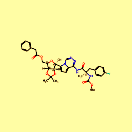 CC(C)(C)OC(=O)N[C@](C)(Cc1ccc(F)cc1)C(=O)Nc1nncn2c([C@]3(C#N)O[C@H](COC(=O)Cc4ccccc4)[C@H]4OC(C)(C)O[C@H]43)ccc12